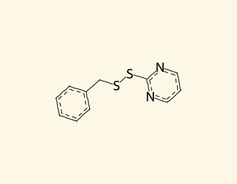 c1ccc(CSSc2ncccn2)cc1